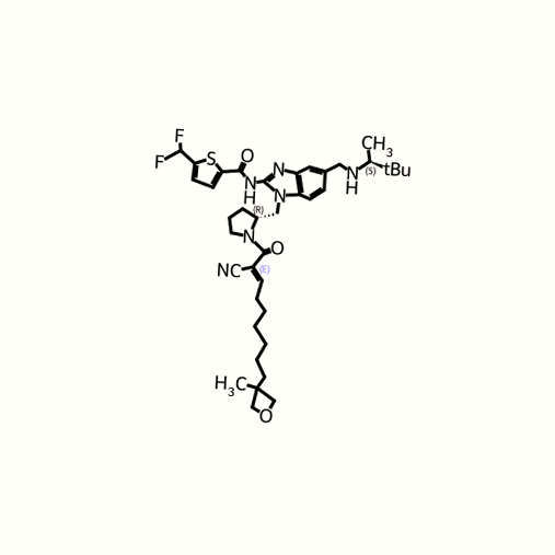 C[C@H](NCc1ccc2c(c1)nc(NC(=O)c1ccc(C(F)F)s1)n2C[C@H]1CCCN1C(=O)/C(C#N)=C/CCCCCCC1(C)COC1)C(C)(C)C